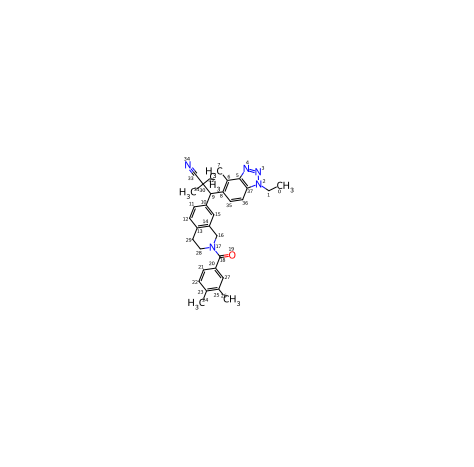 CCn1nnc2c(C)c(C(c3ccc4c(c3)CN(C(=O)c3ccc(C)c(C)c3)CC4)C(C)(C)C#N)ccc21